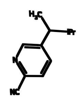 CC(C)C(C)c1ccc(C#N)nc1